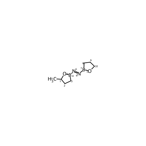 CC1CCB(N=NB2CCCO2)O1